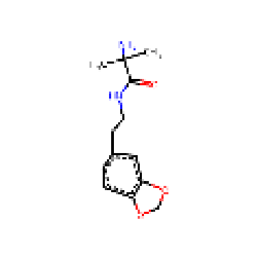 CC(C)(N)C(=O)NCCc1ccc2c(c1)OCO2